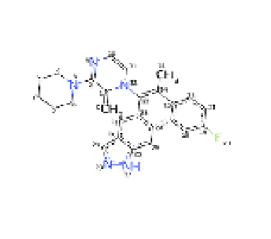 C=C1C(N2CCCCC2)=NC=CN1/C(=C(\C)c1ccc(F)cc1)c1ccc2[nH]ncc2c1